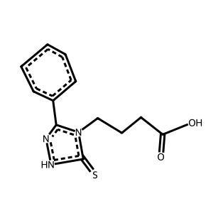 O=C(O)CCCn1c(-c2ccccc2)n[nH]c1=S